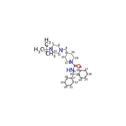 CC(C)(C)N1CCN(CC2CCN(C(=O)NC(c3ccccc3)c3ccccc3)CC2)CC1